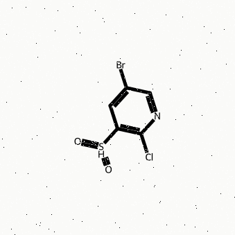 O=[SH](=O)c1cc(Br)cnc1Cl